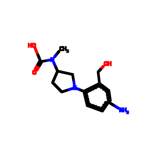 CN(C(=O)O)C1CCN(c2ccc(N)cc2CO)C1